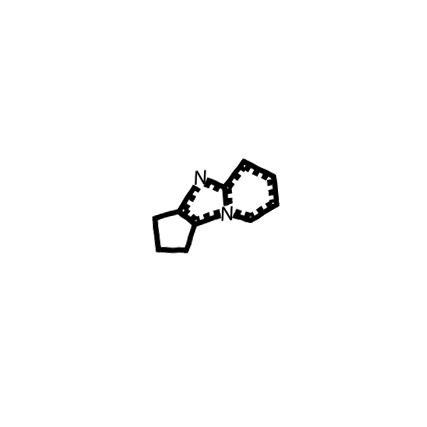 c1ccn2c3c(nc2c1)CCC3